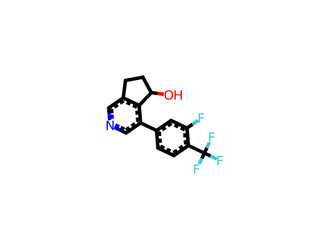 OC1CCc2cncc(-c3ccc(C(F)(F)F)c(F)c3)c21